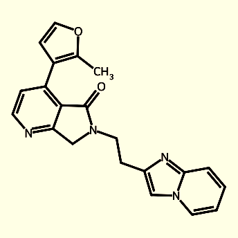 Cc1occc1-c1ccnc2c1C(=O)N(CCc1cn3ccccc3n1)C2